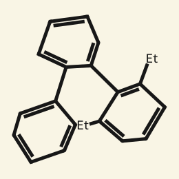 CCc1cccc(CC)c1-c1ccccc1-c1ccccc1